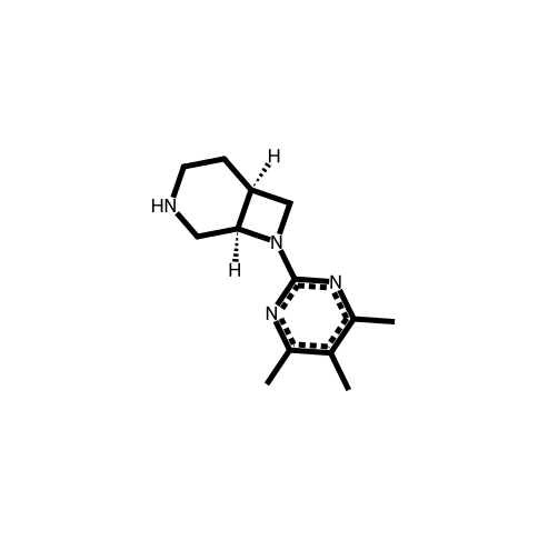 Cc1nc(N2C[C@@H]3CCNC[C@@H]32)nc(C)c1C